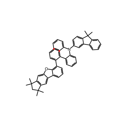 CC1(C)CC(C)(C)c2cc3c(cc21)oc1c(-c2ccccc2-c2ccccc2N(c2ccccc2)c2ccc4c(c2)-c2ccccc2C4(C)C)cccc13